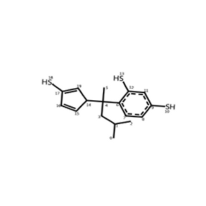 CC(C)CC(C)(c1ccc(S)cc1S)C1C=CC(S)=C1